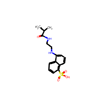 CC(C)C(=O)NCCNc1cccc2c(S(=O)(=O)O)cccc12